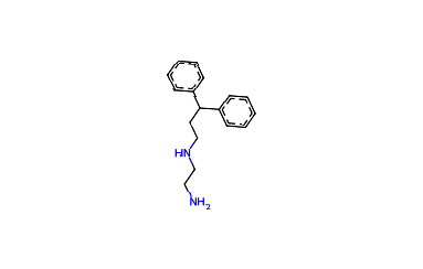 NCCNCCC(c1ccccc1)c1ccccc1